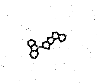 c1ccc2c(c1)ccc1cc3cc(-n4c5ccccc5c5ccccc54)ccc3cc12